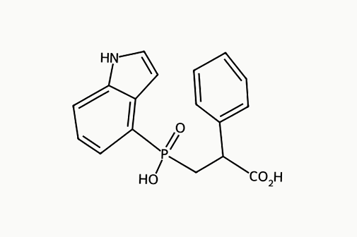 O=C(O)C(CP(=O)(O)c1cccc2[nH]ccc12)c1ccccc1